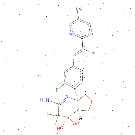 CC1(C)C(N)=N[C@@]2(c3ccc(/C=C(\F)c4ccc(C#N)cn4)cc3F)COC[C@H]2S1(O)O